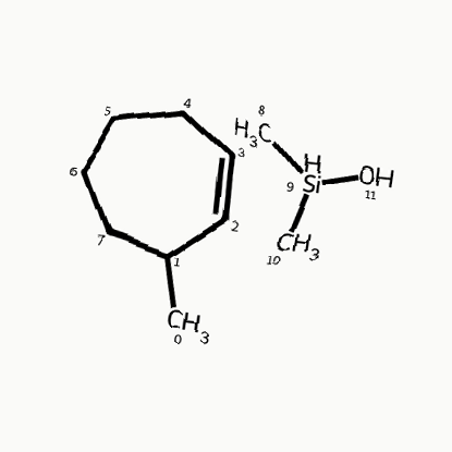 CC1C=CCCCC1.C[SiH](C)O